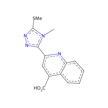 CSc1nnc(-c2cc(C(=O)O)c3ccccc3n2)n1C